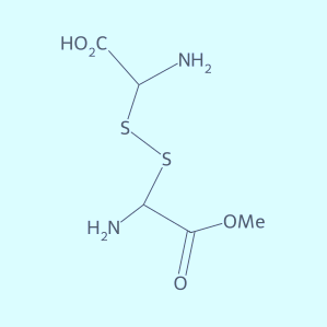 COC(=O)C(N)SSC(N)C(=O)O